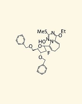 CCOC1=NC(SC)=NN2C1=CCCC=C2[C@]1(O)O[C@H](COCc2ccccc2)[C@@H](OCc2ccccc2)[C@H]1F